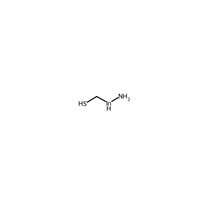 [NH2][InH][CH2]S